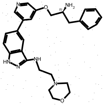 N[C@H](COc1cncc(-c2ccc3[nH]nc(NCCN4CCOCC4)c3c2)c1)Cc1ccccc1